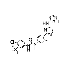 Cc1cc(NC(=O)Nc2ccc(Cl)c(C(F)(F)F)c2)ccc1-c1nccc(Nc2ccn[nH]2)n1